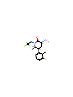 Cc1c(F)cccc1[C@@H]1C[C@H](N)C(=O)N(CC(F)(F)F)[C@@H]1C